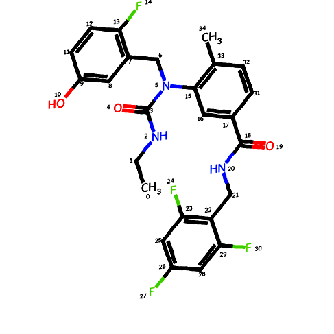 CCNC(=O)N(Cc1cc(O)ccc1F)c1cc(C(=O)NCc2c(F)cc(F)cc2F)ccc1C